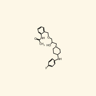 CC(=O)Nc1ccccc1COCC(O)CN1CCC(Nc2ccc(F)cc2)CC1